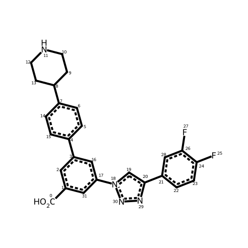 O=C(O)c1cc(-c2ccc(C3CCNCC3)cc2)cc(-n2cc(-c3ccc(F)c(F)c3)nn2)c1